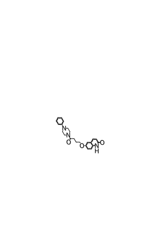 O=C(CCCOc1ccc2[nH]c(=O)ccc2c1)N1CCN(c2ccccc2)CC1